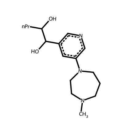 CCCC(O)C(O)c1cncc(N2CCCN(C)CC2)c1